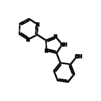 Oc1ccccc1-c1nc(-c2ncccn2)n[nH]1